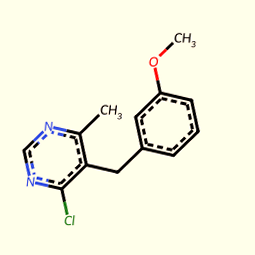 COc1cccc(Cc2c(C)ncnc2Cl)c1